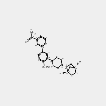 COc1ccc(-c2cccc(C(N)=O)c2)cc1C1CCN([C@@H]2C[C@H]3CC[C@H]2C3)CC1